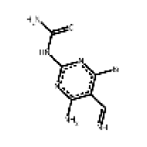 N=Cc1c(N)nc(NC(N)=O)nc1Br